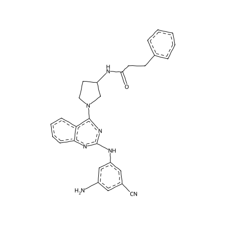 N#Cc1cc(N)cc(Nc2nc(N3CCC(NC(=O)CCc4ccccc4)C3)c3ccccc3n2)c1